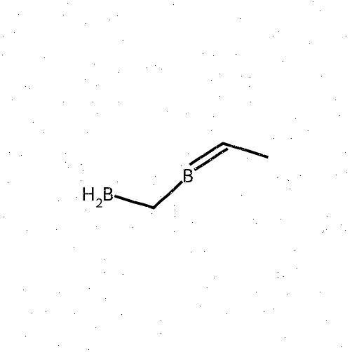 BC/B=C\C